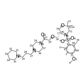 COc1cc(C)c(S(=O)(=O)N2CC(C)(C)OC[C@H]2COCC(=O)N2CCN(CCCN3CCCCC3)CC2)c(C)c1